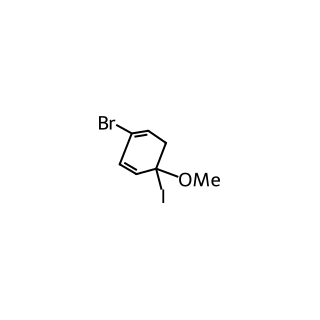 COC1(I)C=CC(Br)=CC1